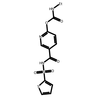 CCNC(=O)Oc1ccc(C(=O)NS(=O)(=O)c2cccs2)cn1